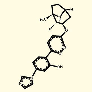 C[C@]12CC[C@H](C[C@@H](Oc3ccc(-c4ccc(-n5ccnc5)cc4O)nn3)[C@@H]1F)N2